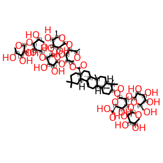 C[C@@H]1O[C@@H](O[C@H]2[C@H](OC(=O)[C@]34CCC(C)(C)C[C@H]3C3=CC[C@@H]5[C@@]6(C)CC[C@H](O[C@H]7O[C@H](C(=O)O)[C@@H](O)[C@H](O[C@@H]8OC[C@@H](O)[C@H](O)[C@H]8O)[C@H]7O[C@@H]7O[C@H](CO)[C@H](O)[C@H](O)[C@H]7O)[C@@](C)(C=O)[C@@H]6CC[C@@]5(C)[C@]3(C)CC4)O[C@H](C)[C@H](O[C@@H]3O[C@H](C)[C@@H](O)[C@H](O)[C@H]3O)[C@@H]2O)[C@H](O)[C@H](O)[C@H]1O[C@@H]1OC[C@@H](O)[C@H](O[C@@H]2OC[C@@H](O)[C@H](O)[C@H]2O)[C@H]1O